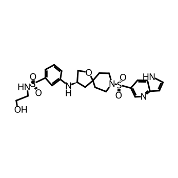 O=S(=O)(NCCO)c1cccc(N[C@H]2COC3(CCN(S(=O)(=O)c4cnc5cc[nH]c5c4)CC3)C2)c1